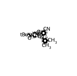 Cc1cc(C)cc(Oc2ccc(C#N)cc2S(=O)(=O)N2CCN(C(=O)CC(C)(C)C)CC2)c1